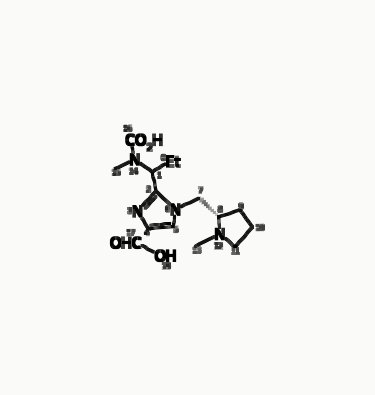 CCC(c1nccn1C[C@@H]1CCCN1C)N(C)C(=O)O.O=CO